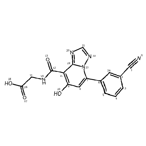 N#Cc1cccc(-c2cc(O)c(C(=O)NCC(=O)O)c3ncnn23)c1